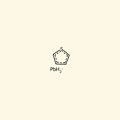 [PbH2].c1ccsc1